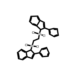 [Cl][Zr]([Cl])([CH2][CH2][Zr]([Cl])([Cl])[CH]1C(c2ccccc2)=Cc2ccccc21)[CH]1C(c2ccccc2)=Cc2ccccc21